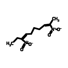 CCC(=CCCCC=C(C)[N+](=O)[O-])[N+](=O)[O-]